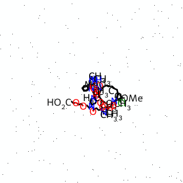 COc1cc2cc(c1Cl)N(C)C(=O)C[C@H](OC(=O)[C@H](C)N(C)C(=O)CCC(=O)N(CCOCCOCCC(=O)O)C1CCN(C(=O)CCn3c4c(c5ccccc53)CN(C)N(C)C4)CC1)[C@]1(C)OC1[C@H](C)[C@@H]1C[C@@](O)(NC(=O)O1)[C@H](OC)/C=C/C=C(\C)C2